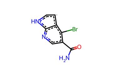 NC(=O)c1cnc2[nH]c[c]c2c1Br